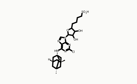 C[C@]12C[C@@H]3C[C@](C)(C1)C[C@@](Nc1nc(Cl)nc4c1ncn4C1OC(CCCCS(=O)(=O)O)C(O)C1O)(C3)C2